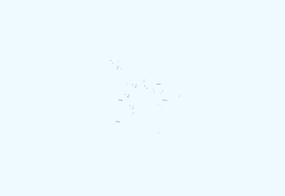 CNC(=O)c1cc(NC(=O)[C@H](CCCNC(N)=O)NC(=O)[C@@H](NC(=O)[C@H](CCC(=O)O)NC(=O)CCOCCC(C)=O)C(C)C)ccc1COC(=O)C(C)C